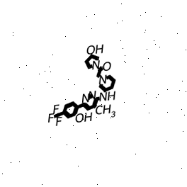 Cc1cc(-c2ccc(C(F)(F)F)cc2O)nnc1N[C@@H]1CCCN(CC(=O)N2CC[C@H](O)C2)C1